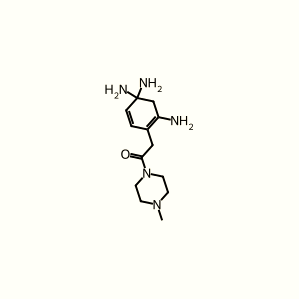 CN1CCN(C(=O)CC2=C(N)CC(N)(N)C=C2)CC1